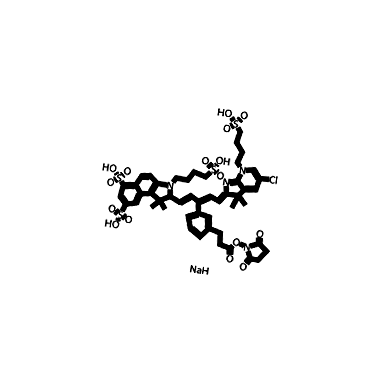 CC1(C)C(=CC=C(C=CC2N(CCCCS(=O)(=O)O)c3ccc4c(S(=O)(=O)O)cc(S(=O)(=O)O)cc4c3C2(C)C)c2cccc(CCC(=O)ON3C(=O)CCC3=O)c2)N=C2C1=CC(Cl)=CN2CCCCS(=O)(=O)O.[NaH]